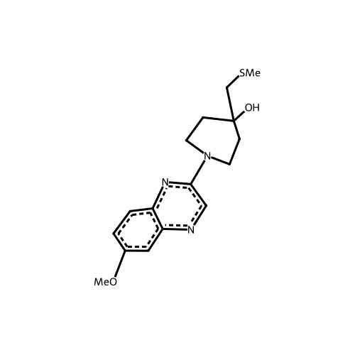 COc1ccc2nc(N3CCC(O)(CSC)CC3)cnc2c1